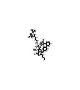 CCCCC1=NC(Cl)=C(C(=O)O)[N+]1(CCOC(=O)OCCCC[C@H](CO[N+](=O)[O-])O[N+](=O)[O-])Cc1ccc(-c2ccccc2-c2nnn[nH]2)cc1